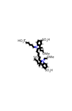 COCC[N+]1=C(/C=C/C=C/C=C2/N(CCCCCC(=O)O)c3ccc(S(=O)(=O)O)cc3C2(C)CCOC)C(C)(CCCS(=O)(=O)O)c2cc(S(=O)(=O)O)ccc21